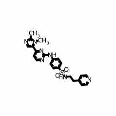 Cc1ncc(-c2ccnc(Nc3ccc(S(=O)(=O)NCCc4ccncc4)cc3)n2)n1C